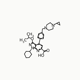 CC(C)Oc1nn(C2CCCCC2)c2nc(C(=O)O)cc(-c3ccc(CN4CCN(C5CC5)CC4)cc3)c12